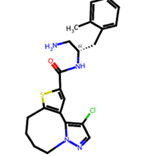 Cc1ccccc1C[C@@H](CN)NC(=O)c1cc2c(s1)CCCCn1ncc(Cl)c1-2